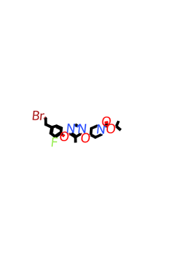 Cc1c(Oc2ccc(CCBr)cc2F)ncnc1OC1CCN(C(=O)OC(C)C)CC1